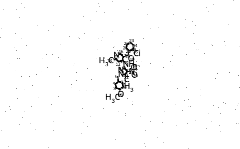 COc1ccc(Cn2nc(Nc3cc(C)ncc3C(=O)c3ccccc3Cl)c([N+](=O)[O-])c2C)cc1